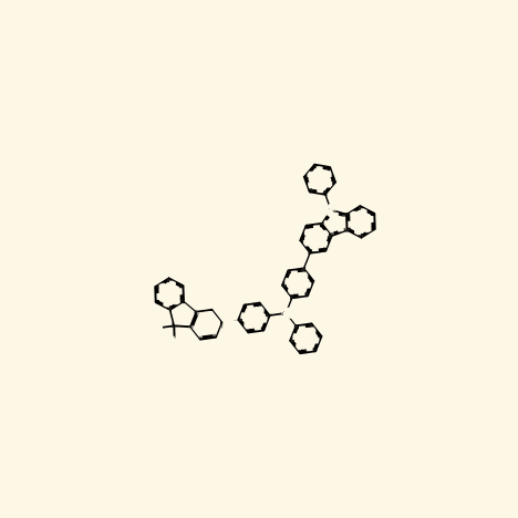 CC1(C)C2=C(C[C@H](c3ccc(N(c4ccccc4)c4ccc(-c5ccc6c(c5)c5ccccc5n6-c5ccccc5)cc4)cc3)C=C2)c2ccccc21